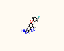 Fc1ccc(Oc2ccc3c(-c4cn[nH]c4)nncc3c2)cc1